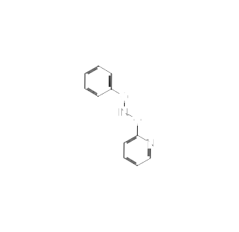 c1ccc(ONOc2ccccn2)cc1